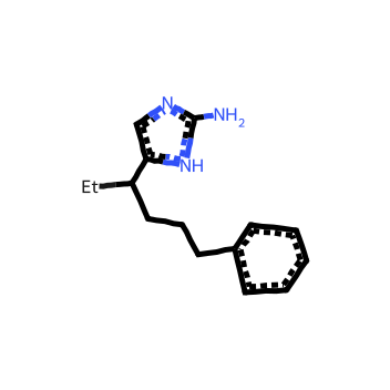 CCC(CCCc1ccccc1)c1cnc(N)[nH]1